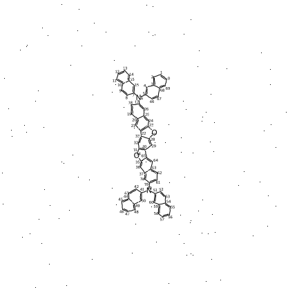 c1ccc2cc(N(c3ccc4ccccc4c3)c3ccc4cc5c(cc4c3)oc3cc4c(cc35)oc3cc5cc(N(c6ccc7ccccc7c6)c6ccc7ccccc7c6)ccc5cc34)ccc2c1